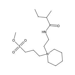 CCC(C)C(=O)NCC[N+]1(CCCS(=O)(=O)OC)CCCCC1